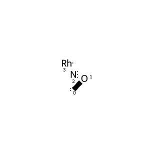 [C]=O.[N].[Rh]